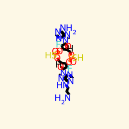 NCCCNc1ncnc2c1ncn2[C@@H]1O[C@@H]2CO[P@@](=O)(S)OC3C(F)[C@H](n4cnc5c(N)ncnc54)O[C@@H]3CO[P@@](=O)(S)OC2C1F